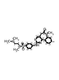 CN(C)CCN(C)S(=O)(=O)c1ccc(Nc2ncc3c(n2)-c2ccccc2N(C)C(=O)C3)cc1